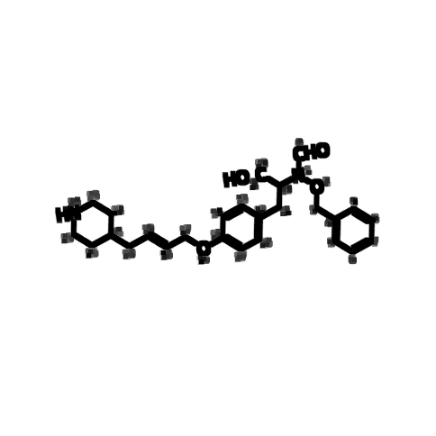 O=CN(OCc1ccccc1)C(Cc1ccc(OCC=CCC2CCNCC2)cc1)C(=O)O